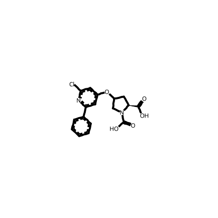 O=C(O)[C@@H]1CC(Oc2cc(Cl)nc(-c3ccccc3)c2)CN1C(=O)O